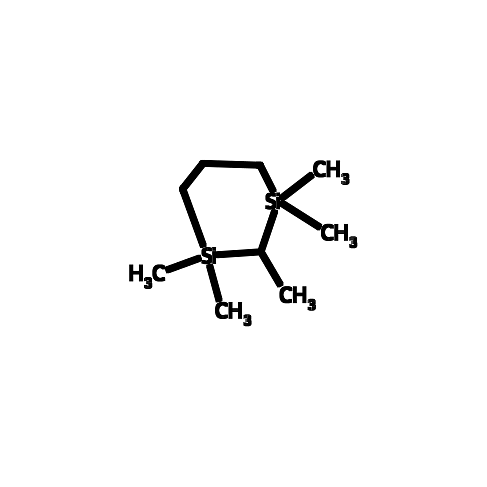 CC1[Si](C)(C)CCC[Si]1(C)C